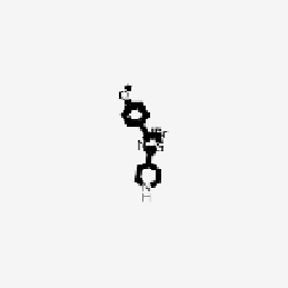 Br.COc1ccc(-c2csc(C3CCNCC3)n2)cc1